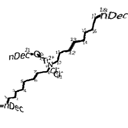 CCCCCCCCCCCCCCCCCC[N](CCCCCCCCCCCCCCCCCC)[Ti+2][O]CCCCCCCCCC.[Cl-].[Cl-]